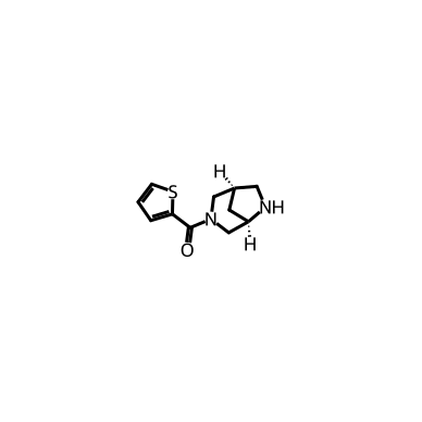 O=C(c1cccs1)N1C[C@H]2CN[C@H](C2)C1